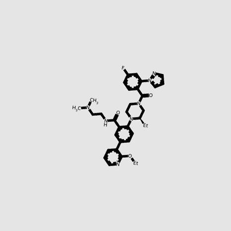 CCOc1ncccc1-c1ccc(N2CCN(C(=O)c3ccc(F)cc3-n3cccn3)C[C@H]2CC)c(C(=O)NCCN(C)C)c1